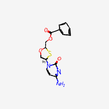 Nc1ccn([C@H]2COC(COC(=O)c3ccccc3)S2)c(=O)n1